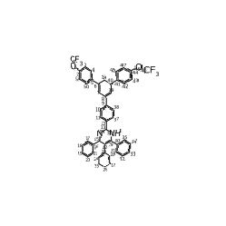 FC(F)(F)Oc1ccc(C2=CC(c3ccc(C4N=C(c5ccccc5)C(C5=CCCC=C5)=C(c5ccccc5)N4)cc3)=CC(c3ccc(OC(F)(F)F)cc3)C2)cc1